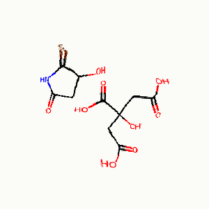 O=C(O)CC(O)(CC(=O)O)C(=O)O.O=C1CC(O)C(=S)N1